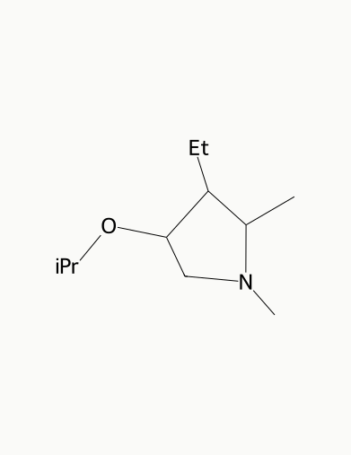 CCC1C(OC(C)C)CN(C)C1C